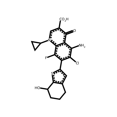 Nc1c(Cl)c(-c2cc3c(s2)C(O)CCC3)c(F)c2c1c(=O)c(C(=O)O)cn2C1CC1